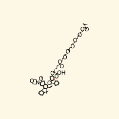 C=C(C)C(=O)OCCOCCOCCOCCOCCOCCOC(=O)CCCC(Oc1ccc(C2(c3ccccc3)C=Cc3c4c(c5cc(N6CCOCC6)c(OC)cc5c3O2)-c2ccccc2C4(C)C)cc1)C(=O)O